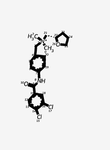 C[N+](C)(Cc1ccc(NC(=O)c2ccc(Cl)c(Cl)c2)cc1)C[C@@H]1CCCO1